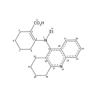 CCN(C1=C(C(=O)O)CCCC1)c1c2c(nc3ccccc13)CCCC2